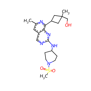 Cc1cc2cnc(NC3CCN(S(C)(=O)=O)CC3)nc2c(C2CC(C)(CO)C2)n1